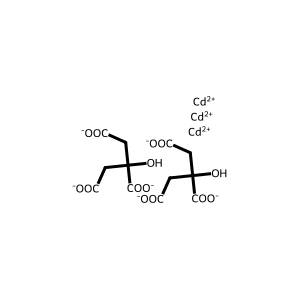 O=C([O-])CC(O)(CC(=O)[O-])C(=O)[O-].O=C([O-])CC(O)(CC(=O)[O-])C(=O)[O-].[Cd+2].[Cd+2].[Cd+2]